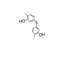 Cc1ccc(Sc2ccc(C)c(O)c2)cc1O